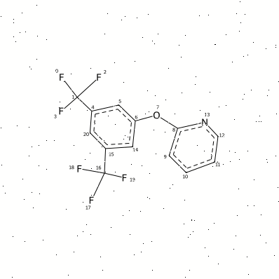 FC(F)(F)c1cc(Oc2cc[c]cn2)cc(C(F)(F)F)c1